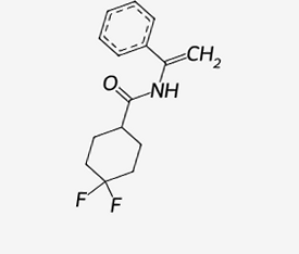 C=C(NC(=O)C1CCC(F)(F)CC1)c1ccccc1